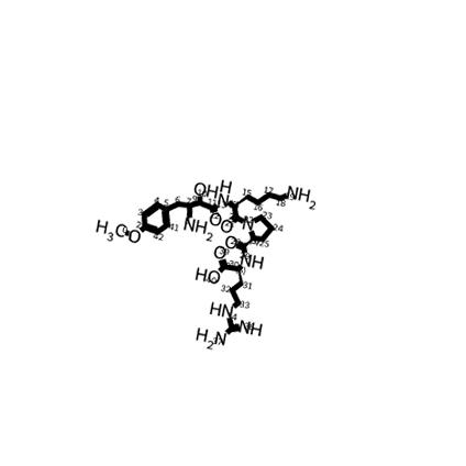 COc1ccc(CC(N)C(O)C(=O)N[C@@H](CCCCN)C(=O)N2CCC[C@H]2C(=O)N[C@@H](CCCNC(=N)N)C(=O)O)cc1